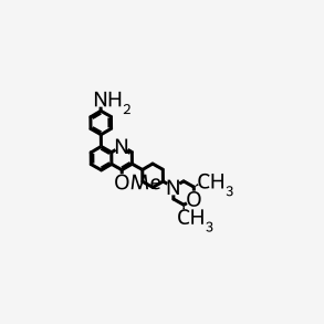 COc1c(C2CCC(N3C[C@@H](C)O[C@@H](C)C3)CC2)cnc2c(-c3ccc(N)cc3)cccc12